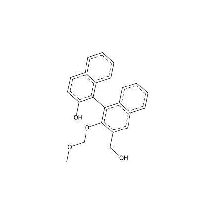 COCOc1c(CO)cc2ccccc2c1-c1c(O)ccc2ccccc12